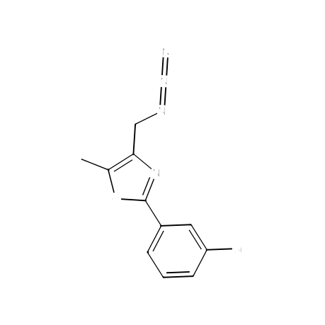 Cc1oc(-c2cccc(Br)c2)nc1CN=[N+]=[N-]